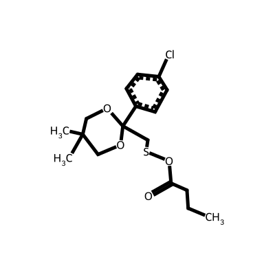 CCCC(=O)OSCC1(c2ccc(Cl)cc2)OCC(C)(C)CO1